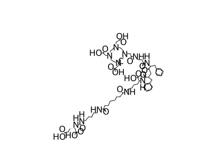 O=C(O)CC[C@H](NC(=O)NCCCCCNC(=O)CCCCCCC(=O)NCCCCC(NC(=O)C(CC(=O)C(Cc1ccccc1)NC(=O)CCNC(=O)CN1CCN(CC(=O)O)CCN(CC(=O)O)CCN(CC(=O)O)CC1)Cc1ccccc1)C(=O)O)C(=O)O